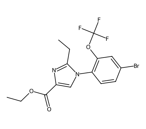 CCOC(=O)c1cn(-c2ccc(Br)cc2OC(F)(F)F)c(CC)n1